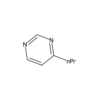 CC[CH]c1ccncn1